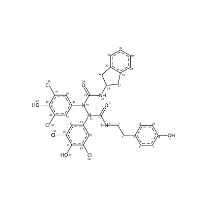 O=C(NCCc1ccc(O)cc1)N(c1cc(Cl)c(O)c(Cl)c1)N(C(=O)NC1Cc2ccccc2C1)c1cc(Cl)c(O)c(Cl)c1